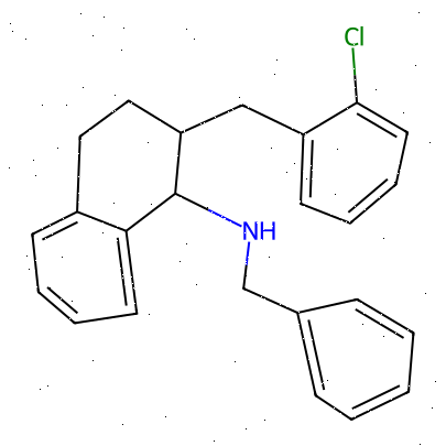 Clc1ccccc1CC1CCc2ccccc2C1NCc1ccccc1